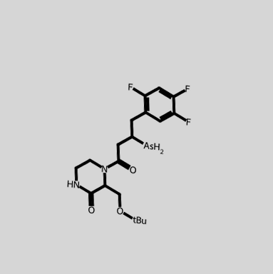 CC(C)(C)OCC1C(=O)NCCN1C(=O)CC([AsH2])Cc1cc(F)c(F)cc1F